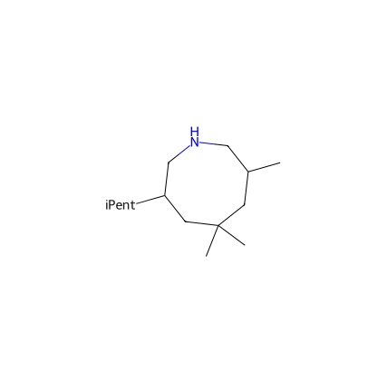 CCCC(C)C1CNCC(C)CC(C)(C)C1